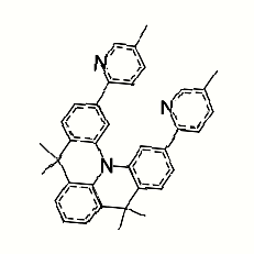 Cc1ccc(-c2ccc3c(c2)N2c4cc(-c5ccc(C)cn5)ccc4C(C)(C)c4cccc(c42)C3(C)C)nc1